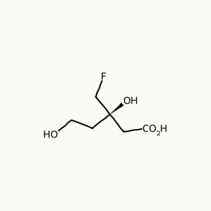 O=C(O)C[C@@](O)(CF)CCO